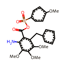 COc1ccc(S(=O)(=O)OC(=O)c2c(N)c(OC)c(OC)c(OC)c2Cc2ccccc2)cc1